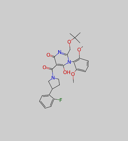 COc1cccc(OC)c1-n1c(COC(C)(C)C)nc(=O)c(C(=O)N2CCC(c3ccccc3F)C2)c1O